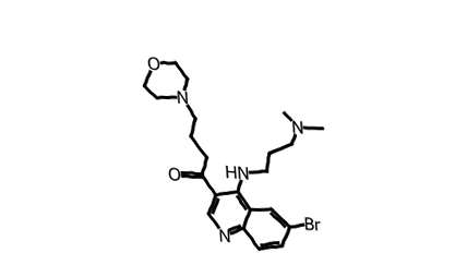 CN(C)CCCNc1c(C(=O)CCCN2CCOCC2)cnc2ccc(Br)cc12